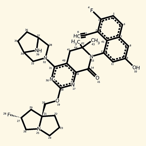 C#Cc1c(F)ccc2cc(O)cc(N3C(=O)c4nc(OC[C@@]56CCCN5C[C@H](F)C6)nc(N5CC6CCC(C5)N6)c4CC3(C)C)c12